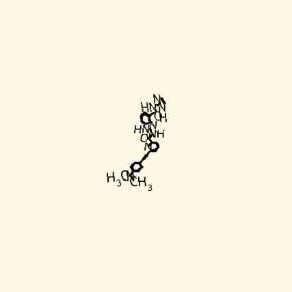 CN(C)c1ccc(C#Cc2cccc(C(=O)Nc3nc4c(C(=O)Nc5ncc[nH]5)cccc4[nH]3)n2)cc1